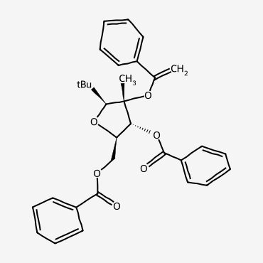 C=C(O[C@]1(C)[C@H](OC(=O)c2ccccc2)[C@@H](COC(=O)c2ccccc2)O[C@H]1C(C)(C)C)c1ccccc1